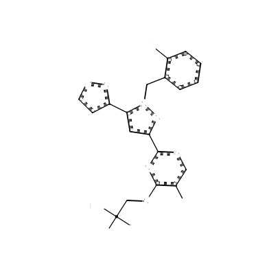 CCC(O)(CNc1nc(-c2cc(-c3ccon3)n(Cc3ccccc3F)n2)ncc1F)C(F)(F)F